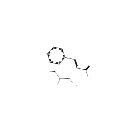 O=C(O)C=Cc1ccccc1.OCC(O)CO